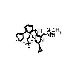 CS(=O)(=O)NCc1nc(C2CC2)cnc1Nc1cccc(C2=CCOCC2)c1OCC(F)(F)F